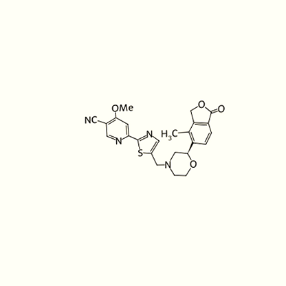 COc1cc(-c2ncc(CN3CCO[C@H](c4ccc5c(c4C)COC5=O)C3)s2)ncc1C#N